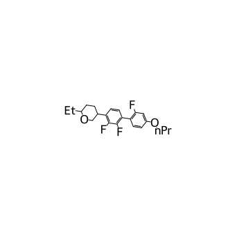 CCCOc1ccc(-c2ccc(C3CCC(CC)OC3)c(F)c2F)c(F)c1